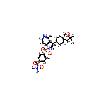 CN(C)S(=O)(=O)c1ccc(S(=O)(=O)n2cc(C3CCC4(CC3)COC(C)(C)C4)c3cnccc32)cc1